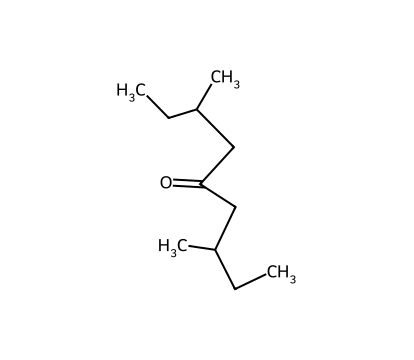 CCC(C)CC(=O)CC(C)CC